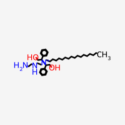 CCCCCCCCCCCCCCCCCC[N+](CCNCCN)(C(CO)c1ccccc1)C(CO)c1ccccc1